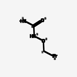 CC(C)CONC([NH])=O